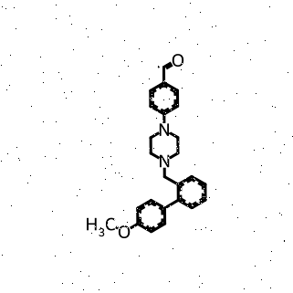 COc1ccc(-c2ccccc2CN2CCN(c3ccc([C]=O)cc3)CC2)cc1